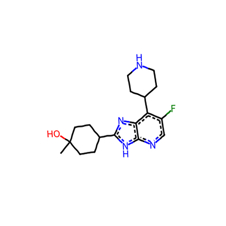 CC1(O)CCC(c2nc3c(C4CCNCC4)c(F)cnc3[nH]2)CC1